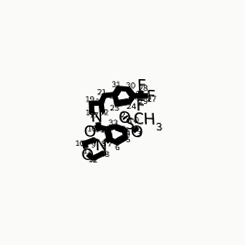 CS(=O)(=O)c1ccc(N2CCOCC2)c(C(=O)N2CCC(Cc3ccc(C(F)(F)F)cc3)C2)c1